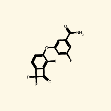 NC(=O)c1cc(F)cc(OC2=C=C=C3C(=C2I)C(=O)C3(F)F)c1